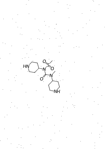 CN(C(=O)N(C1CCNCC1)S(C)(=O)=O)C1CCNCC1